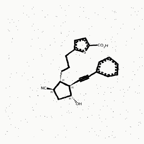 N#C[C@@H]1C[C@@H](O)[C@H](C#Cc2ccccc2)[C@H]1CCCc1ccc(C(=O)O)s1